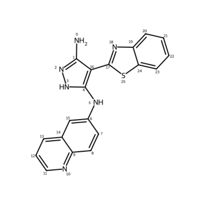 Nc1n[nH]c(Nc2ccc3ncccc3c2)c1-c1nc2ccccc2s1